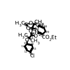 CCOC(=O)C1=C(OC(=O)C(C)(C)Oc2ccc(Cl)cc2)N(C2(C)OB(C)OC2(C)C)C=CC1